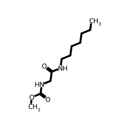 CCCCCCCNC(=O)CNC(=O)OC